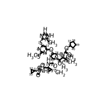 C=C[C@@H]1C[C@]1(NC(=O)[C@@H]1C[C@@H](Oc2cc(SC3=NNNN3C)nc(SC)n2)CN1C(=O)[C@@H](NC(=O)OC1CCCC1)C(C)(C)C)C(=O)NS(=O)(=O)C1CC1